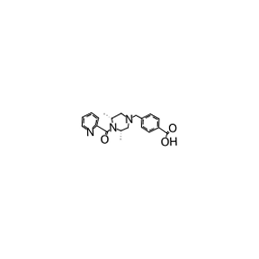 C[C@@H]1CN(Cc2ccc(C(=O)O)cc2)C[C@H](C)N1C(=O)c1ccccn1